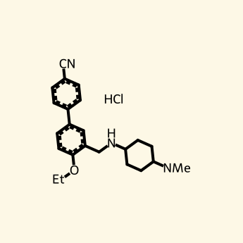 CCOc1ccc(-c2ccc(C#N)cc2)cc1CNC1CCC(NC)CC1.Cl